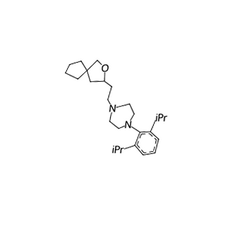 CC(C)c1cccc(C(C)C)c1N1CCN(CCC2CC3(CCCC3)CO2)CC1